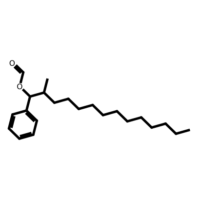 CCCCCCCCCCCCC(C)C(OC=O)c1ccccc1